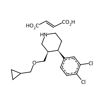 Clc1ccc([C@@H]2CCNC[C@@H]2COCC2CC2)cc1Cl.O=C(O)/C=C/C(=O)O